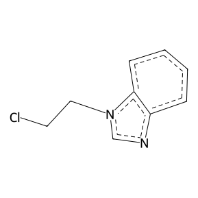 ClCCn1cnc2ccccc21